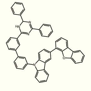 c1ccc(C2=NC(c3ccccc3)NC(c3cccc(-c4cccc(-n5c6ccccc6c6cc(-c7cccc8c7oc7ccccc78)ccc65)c4)c3)=N2)cc1